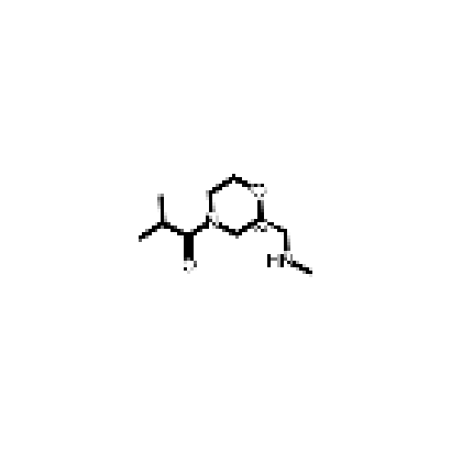 CNC[C@H]1CN(C(=O)C(C)C)CCO1